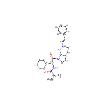 CC[C@H](NC)C(=O)N[C@H](C(=O)N1CCC2CCN(C=Cc3ccccc3)CC21)C1CCCCC1